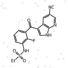 [C-]#[N+]c1cnc2[nH]cc(C(=O)c3cccc(NS(=O)(=O)CC)c3F)c2c1